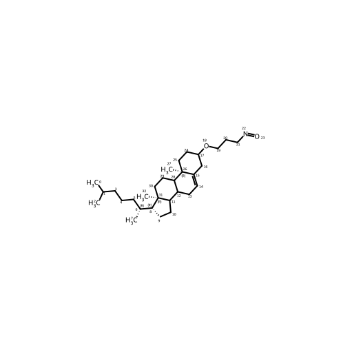 CC(C)CCC[C@@H](C)[C@H]1CCC2C3CC=C4CC(OCCCN=O)CC[C@]4(C)C3CC[C@@]21C